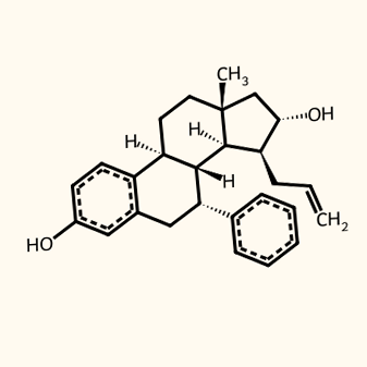 C=CC[C@H]1[C@H]2[C@H]3[C@H](CC[C@]2(C)C[C@@H]1O)c1ccc(O)cc1C[C@H]3c1ccccc1